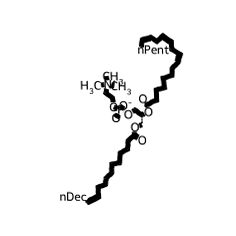 CCCCC/C=C\C/C=C\C/C=C\CCCCCCC(=O)O[C@H](COC(=O)CCCCCCCCC/C=C\CCCCCCCCCC)COP(=O)([O-])OCC[N+](C)(C)C